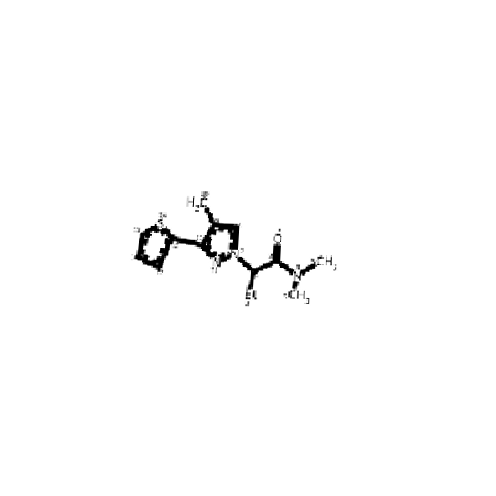 CCC(C(=O)N(C)C)n1cc(C)c(-c2cccs2)n1